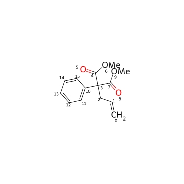 C=CCC(C(=O)OC)(C(=O)OC)c1ccccc1